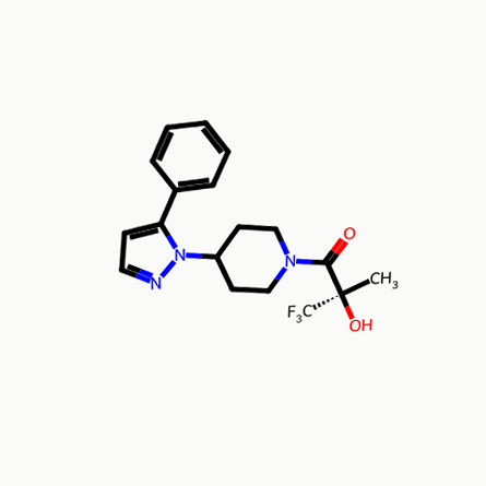 C[C@@](O)(C(=O)N1CCC(n2nccc2-c2ccccc2)CC1)C(F)(F)F